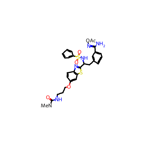 CNC(=O)NCCCOc1ccc2nc(C(Cc3cccc(C(N)=NOC(C)=O)c3)NS(=O)(=O)c3ccccc3)sc2c1